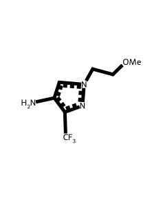 COCCn1cc(N)c(C(F)(F)F)n1